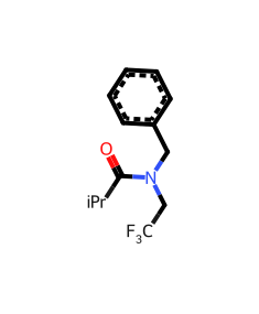 CC(C)C(=O)N(Cc1ccccc1)CC(F)(F)F